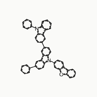 c1ccc(-c2ccc3c(c2)c2cc(-c4ccc5c(c4)c4ccccc4n5-c4ccccc4)ccc2n3-c2ccc3c(c2)oc2ccccc23)cc1